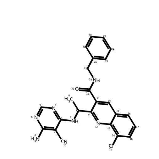 CC(Nc1ncnc(N)c1C#N)c1nc2c(Cl)cccc2cc1C(=O)NCc1ccccc1